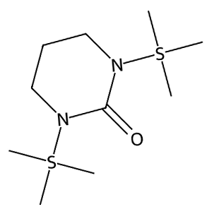 CS(C)(C)N1CCCN(S(C)(C)C)C1=O